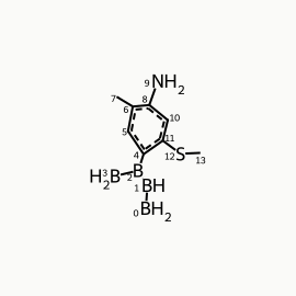 BBB(B)c1cc(C)c(N)cc1SC